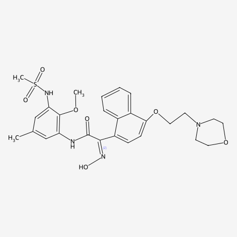 COc1c(NC(=O)/C(=N\O)c2ccc(OCCN3CCOCC3)c3ccccc23)cc(C)cc1NS(C)(=O)=O